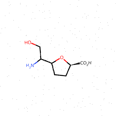 NC(CO)C1CC[C@H](C(=O)O)O1